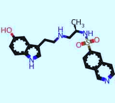 C[C@H](CNCCc1c[nH]c2ccc(O)cc12)NS(=O)(=O)c1ccc2cnccc2c1